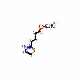 O=COCCCCc1nccs1